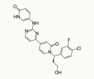 O=c1ccc(Nc2nccc(-c3ccn([C@H](CCO)c4ccc(Cl)c(F)c4)c(=O)c3)n2)c[nH]1